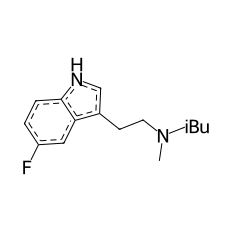 CCC(C)N(C)CCc1c[nH]c2ccc(F)cc12